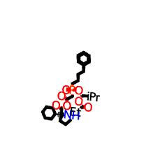 CCC(=O)OC(OP(=O)(CCCCc1ccccc1)CC(=O)OC(=O)[C@]1(C2CCCCC2)CCCN1)C(C)C